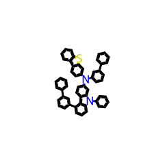 c1ccc(-c2cccc(-c3cccc4c3c3ccc(N(c5cccc(-c6ccccc6)c5)c5ccc6c(c5)sc5ccccc56)cc3n4-c3ccccc3)c2)cc1